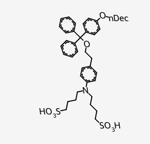 CCCCCCCCCCOc1ccc(C(OCCc2ccc(N(CCCCS(=O)(=O)O)CCCCS(=O)(=O)O)cc2)(c2ccccc2)c2ccccc2)cc1